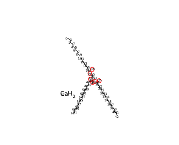 CCCCCCCCCCCCCCCCCC(=O)OCC(COC(=O)CCCCCCCCCCCCCCCCC)OC(=O)CCCCCCCCCCCCCCCCC.[CaH2]